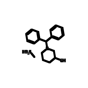 CS(=O)(=O)O.OC1CCCN(C(c2ccccc2)c2ccccc2)C1